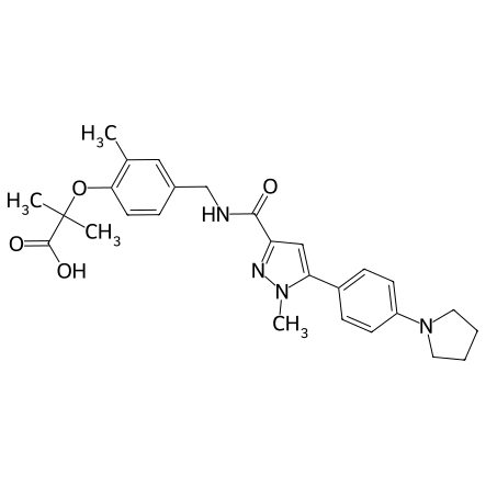 Cc1cc(CNC(=O)c2cc(-c3ccc(N4CCCC4)cc3)n(C)n2)ccc1OC(C)(C)C(=O)O